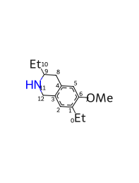 CCc1cc2c(cc1OC)CC(CC)NC2